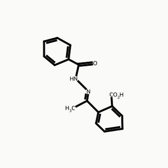 C/C(=N\NC(=O)c1ccccc1)c1ccccc1C(=O)O